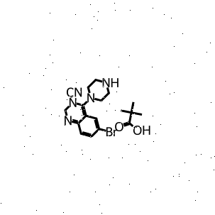 CC(C)(C)C(=O)O.N#CN1CN=c2ccc(Br)cc2=C1N1CCNCC1